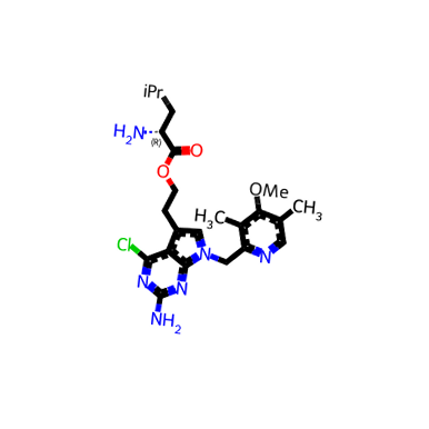 COc1c(C)cnc(Cn2cc(CCOC(=O)[C@H](N)CC(C)C)c3c(Cl)nc(N)nc32)c1C